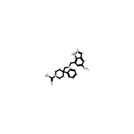 Cc1cc(COCC2(c3ccccc3)CCN(C(=O)O)CC2)c2[nH]ncc2c1